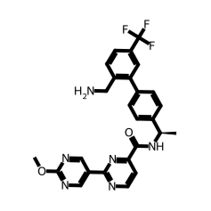 COc1ncc(-c2nccc(C(=O)N[C@H](C)c3ccc(-c4cc(C(F)(F)F)ccc4CN)cc3)n2)cn1